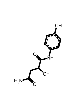 NC(=O)CC(O)C(=O)Nc1ccc(O)cc1